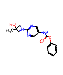 CC1(O)CN(c2ncc(NC(=O)Oc3ccccc3)cn2)C1